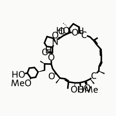 COC1C(=O)[C@H](C)C[C@H](C)/C=C/C=C/C=C(\C)CC[C@@H]2CC[C@@H](C)[C@@](O)(O2)C(=O)C(=O)N2CCCC[C@H]2C(=O)OC([C@H](C)C[C@@H]2CCC(O)[C@H](OC)C2)CC(=O)[C@H](C)/C=C(\C)[C@H]1O